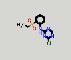 CCS(=O)(=O)c1ccccc1Nc1ncnc(Cl)n1